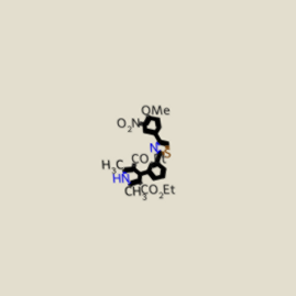 CCOC(=O)C1=C(C)NC(C)=C(C(=O)OCC)C1c1cccc(-c2nc(-c3ccc(OC)c([N+](=O)[O-])c3)cs2)c1